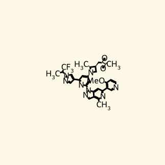 COc1ccncc1-c1cc2c(cnn2-c2cc(N3C[C@H](CS(C)(=O)=O)[C@H]3C)cc(-c3cnn(C(C)C(F)(F)F)c3)n2)c(C)n1